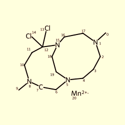 CN1CCCN2CCN(C)CCC(Cl)(Cl)N(CC1)CC2.[Mn+2]